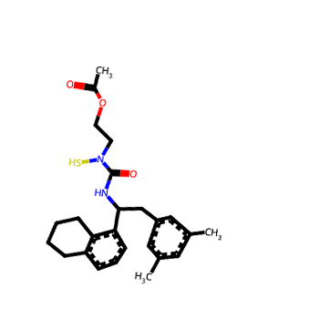 CC(=O)OCCN(S)C(=O)NC(Cc1cc(C)cc(C)c1)c1cccc2c1CCCC2